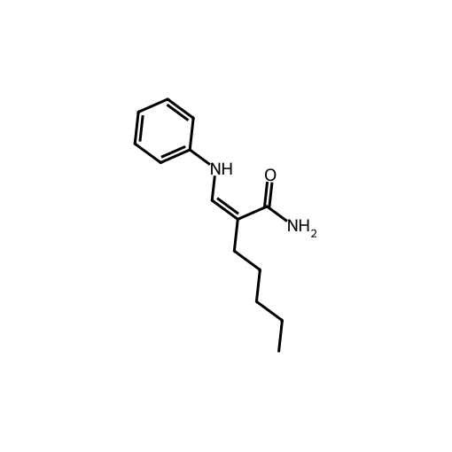 CCCCCC(=CNc1ccccc1)C(N)=O